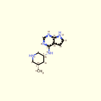 C[C@@H]1CNC[C@H](Nc2ncnc3[nH]ccc23)C1